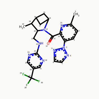 Cc1ccc(-n2nccn2)c(C(=O)N2C3CC(C3)C(C)C2CNc2ncc(C(F)(F)F)cn2)n1